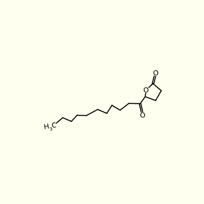 CCCCCCCCCCC(=O)C1CCC(=O)O1